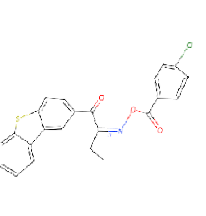 CC/C(=N/OC(=O)c1ccc(Cl)cc1)C(=O)c1ccc2sc3ccccc3c2c1